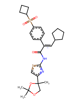 CC1(C)OCC(C)(c2csc(NC(=O)/C(=C/C3CCCC3)c3ccc(S(=O)(=O)C4CCC4)cc3)n2)O1